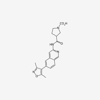 Cc1noc(C)c1-c1ccc2cnc(NC(=O)C3CCN(C(=O)O)C3)cc2c1